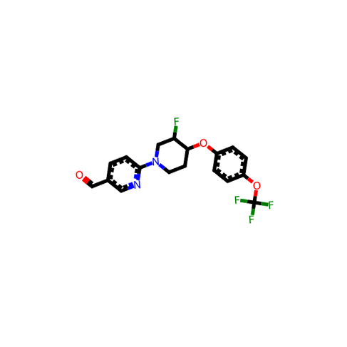 O=Cc1ccc(N2CCC(Oc3ccc(OC(F)(F)F)cc3)C(F)C2)nc1